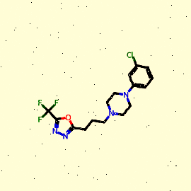 FC(F)(F)c1nnc(CCCN2CCN(c3cccc(Cl)c3)CC2)o1